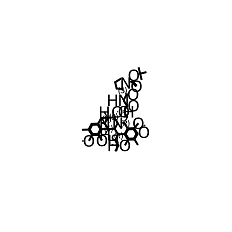 CCS[C@@H]1c2c(O)c(C)c3c(c2[C@H](COC(=O)NC(=O)[C@@H]2CCCN2C(=O)OC(C)(C)C)N2C1[C@@H]1c4c(cc(C)c(OC)c4O)C[C@H]([C@@H]2O)N1C)OCO3